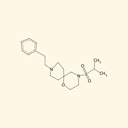 CC(C)S(=O)(=O)N1CCOC2(CCN(CCc3ccccc3)CC2)C1